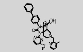 COc1ccnc(N2C(=O)N(c3ccc(-c4ccccc4)cc3)C(=O)C23CCN(Cc2ncccc2C)CC3C(=O)O)n1